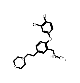 CNCc1cc(CCN2CCSCC2)ccc1Oc1ccc(Cl)c(Cl)c1